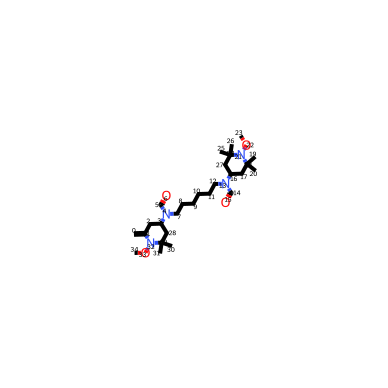 C=C1CC(N(C=O)CCCCCCN(C=O)C2CC(C)(C)N(OC)C(C)(C)C2)CC(C)(C)N1OC